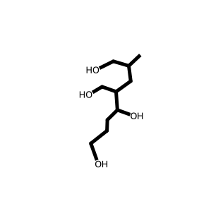 CC(CO)CC(CO)C(O)CCCO